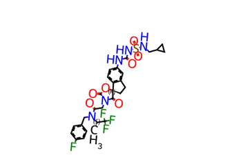 C[C@H](N(Cc1ccc(F)cc1)C(=O)CN1C(=O)O[C@@]2(CCc3cc(NC(=O)NS(=O)(=O)NCC4CC4)ccc32)C1=O)C(F)(F)F